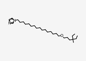 CCC(C)(CC)CCCOCCCCCCCCCCCCCCCCn1ccnc1